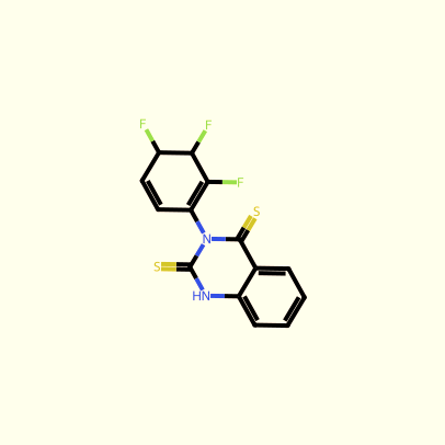 FC1=C(n2c(=S)[nH]c3ccccc3c2=S)C=CC(F)C1F